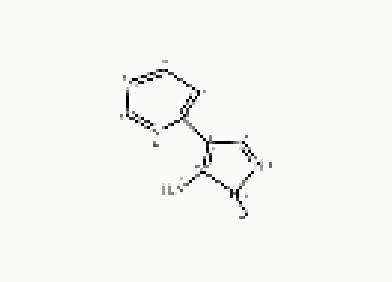 Cn1ncc(-c2ccccn2)c1N